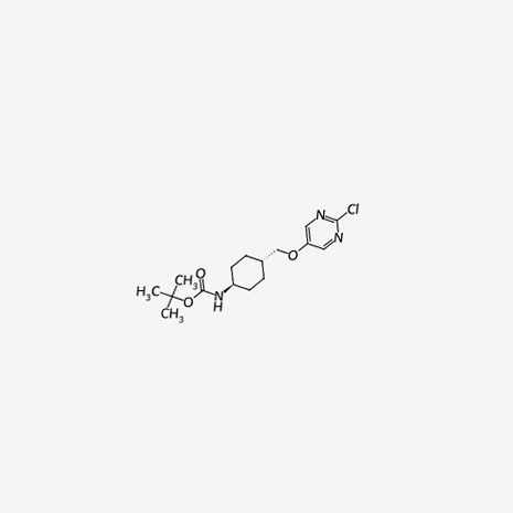 CC(C)(C)OC(=O)N[C@H]1CC[C@H](COc2cnc(Cl)nc2)CC1